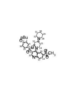 CCCCOc1ccc(S(=O)(=O)c2cnc3ccc(S(C)(=O)=O)cc3c2N2CCC(N3CCCCC3)CC2)cc1